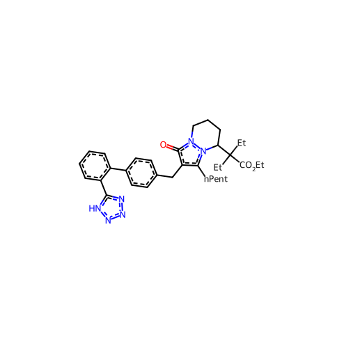 CCCCCc1c(Cc2ccc(-c3ccccc3-c3nnn[nH]3)cc2)c(=O)n2n1C(C(CC)(CC)C(=O)OCC)CCC2